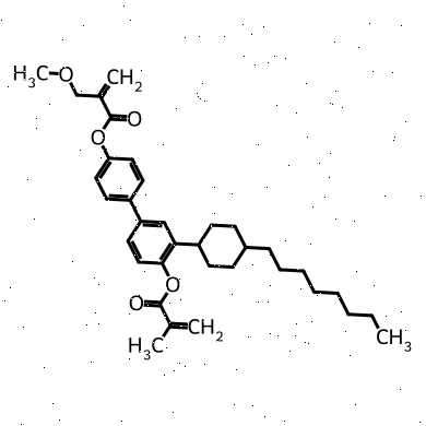 C=C(C)C(=O)Oc1ccc(-c2ccc(OC(=O)C(=C)COC)cc2)cc1C1CCC(CCCCCCCC)CC1